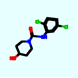 O=C(Nc1cc(Cl)ccc1Cl)N1CCC(O)CC1